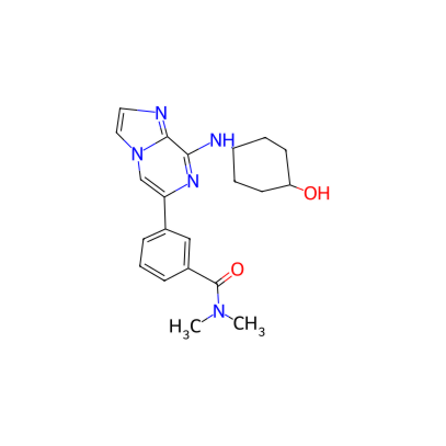 CN(C)C(=O)c1cccc(-c2cn3ccnc3c(NC3CCC(O)CC3)n2)c1